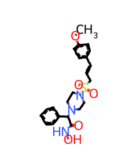 COc1ccc(C=CCS(=O)(=O)N2CCN(C(C(=O)NO)c3ccccc3)CC2)cc1